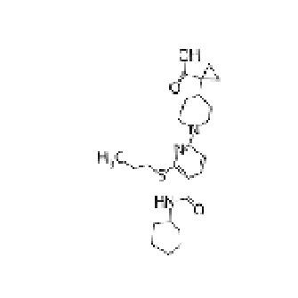 CCCSc1nc(N2CCC(C3(C(=O)O)CC3)CC2)ccc1C(=O)NC1CCCCC1